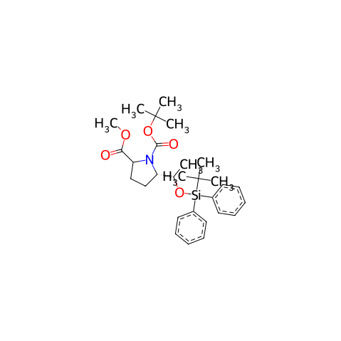 COC(=O)C1CC[C@@H](C(C)O[Si](c2ccccc2)(c2ccccc2)C(C)(C)C)N1C(=O)OC(C)(C)C